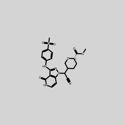 COC(=O)[C@@H]1CCC(C(C#N)n2nc(Nc3ccc(S(C)(=O)=O)cc3)c3c(=O)[nH]ccc32)CO1